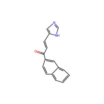 O=C(/C=C/c1cnc[nH]1)c1ccc2ccccc2c1